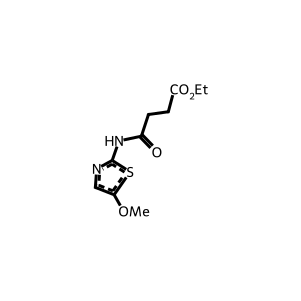 CCOC(=O)CCC(=O)Nc1ncc(OC)s1